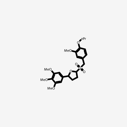 CCCOc1ccc(CS(=O)(=O)C2CCC(c3cc(OC)c(OC)c(OC)c3)O2)cc1OC